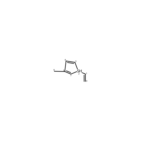 C=C[SH]1C=CC(C)=C1